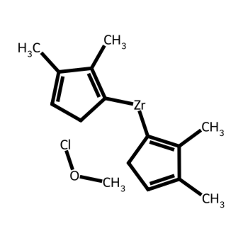 CC1=CC[C]([Zr][C]2=C(C)C(C)=CC2)=C1C.COCl